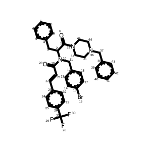 O=C(C(Cc1ccccc1)N(Cc1ccc(Br)cc1)C(=O)C=Cc1ccc(C(F)(F)F)cc1)N1CCN(Cc2ccccc2)CC1